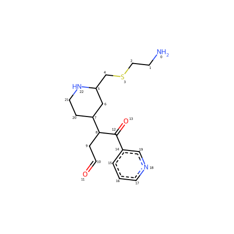 NCCSCC1CC(C(CC=O)C(=O)c2cccnc2)CCN1